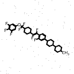 CC1CCC(C2CCC(c3ccc(/C(F)=C(\F)C4CCC(C(F)(F)Oc5cc(F)c(F)c(F)c5)CC4)c(F)c3)CC2)CC1